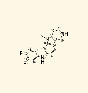 Cn1c2c(c3ccc(Nc4ccc(F)c(F)c4)cc31)CNCC2